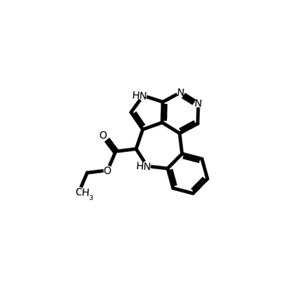 CCOC(=O)C1Nc2ccccc2-c2cnnc3[nH]cc1c23